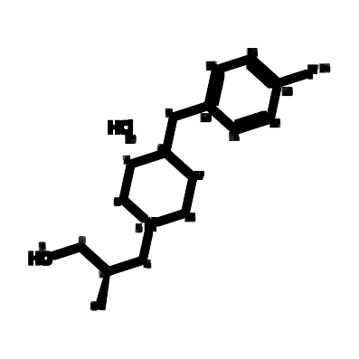 C[C@@H](CO)CN1CCC(Cc2ccc(F)cc2)CC1.Cl